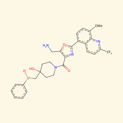 COc1ccc(-c2nc(C(=O)N3CCC(O)(C[S+]([O-])c4ccccc4)CC3)c(CN)o2)c2ccc(C(F)(F)F)nc12